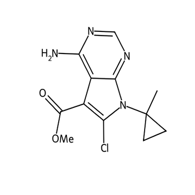 COC(=O)c1c(Cl)n(C2(C)CC2)c2ncnc(N)c12